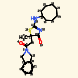 CC1(CC(=O)N2Cc3ccccc3C2)SC(NC2CCCCCCC2)=NC1=O